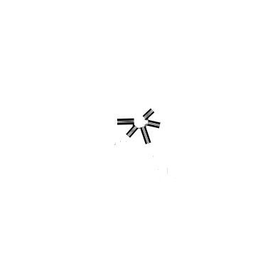 [O]=[Ta](=[O])(=[O])(=[O])=[O].[SrH2]